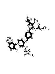 COC(=O)C[C@H]1[C@H](C)C(C(F)(F)F)=NN1c1ccc(O[C@@H]2CCN(c3cc(OC)ncc3Cl)C[C@H]2COS(C)(=O)=O)cc1